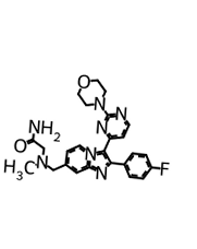 CN(CC(N)=O)Cc1ccn2c(-c3ccnc(N4CCOCC4)n3)c(-c3ccc(F)cc3)nc2c1